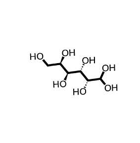 OC[C@@H](O)[C@H](O)[C@H](O)[C@@H](O)C(O)O